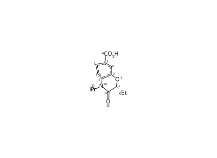 CC[C@H]1Oc2cc(C(=O)O)ccc2N(C(C)C)C1=O